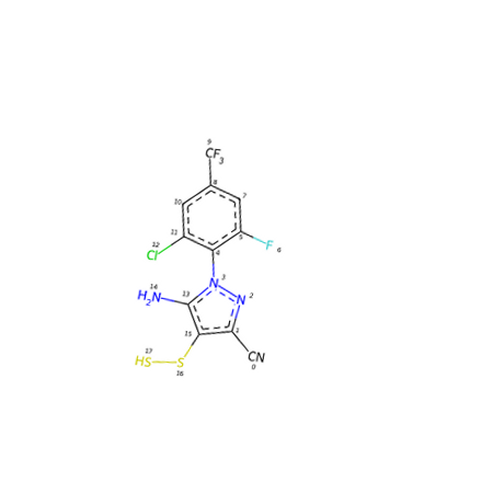 N#Cc1nn(-c2c(F)cc(C(F)(F)F)cc2Cl)c(N)c1SS